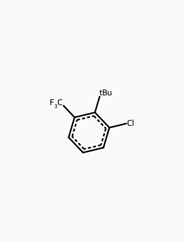 CC(C)(C)c1c(Cl)cccc1C(F)(F)F